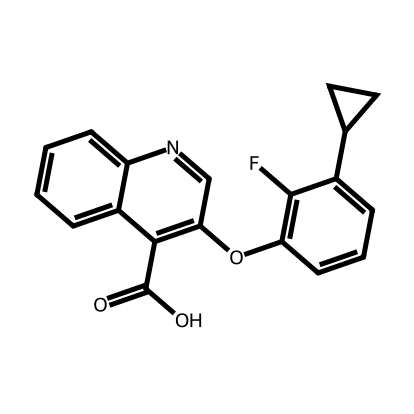 O=C(O)c1c(Oc2cccc(C3CC3)c2F)cnc2ccccc12